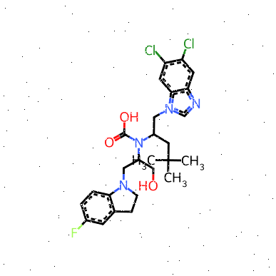 CC(C)(C)CC(Cn1cnc2cc(Cl)c(Cl)cc21)N(C(=O)O)C(CO)CN1CCc2cc(F)ccc21